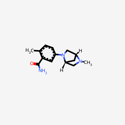 Cc1ccc(N2C[C@H]3C[C@@H]2CN3C)cc1C(N)=O